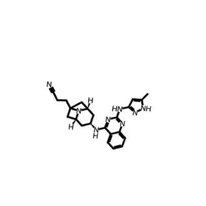 Cc1cc(Nc2nc(N[C@H]3C[C@@H]4CC5(CCC#N)C[C@H](C3)N45)c3ccccc3n2)n[nH]1